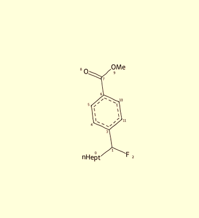 CCCCCCCC(F)c1ccc(C(=O)OC)cc1